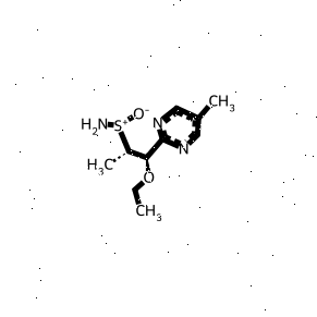 CCO[C@H](c1ncc(C)cn1)[C@H](C)[S+](N)[O-]